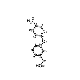 Cc1cnc(Oc2cccc(CO)c2)cn1